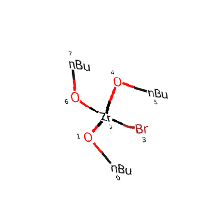 CCCC[O][Zr]([Br])([O]CCCC)[O]CCCC